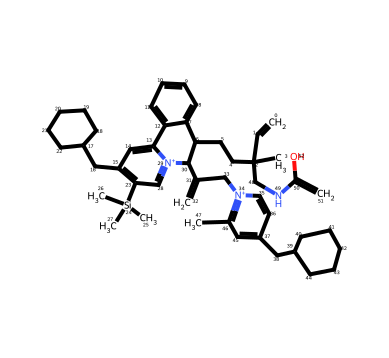 C=CC(C)(CCC1c2ccccc2-c2cc(CC3CCCCC3)c([Si](C)(C)C)c[n+]2C1C(=C)C[n+]1ccc(CC2CCCCC2)cc1C)CNC(=C)O